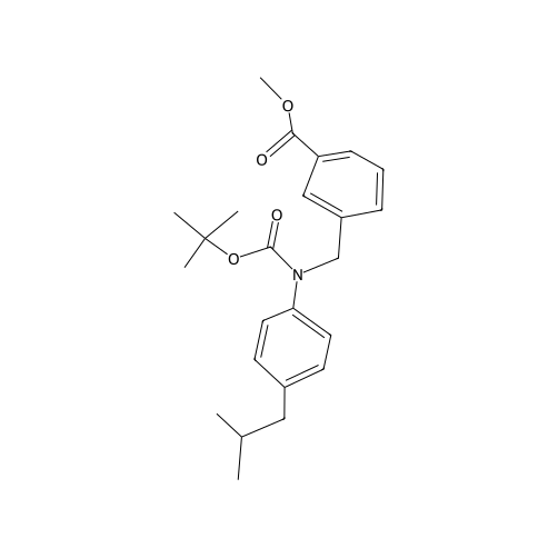 COC(=O)c1cccc(CN(C(=O)OC(C)(C)C)c2ccc(CC(C)C)cc2)c1